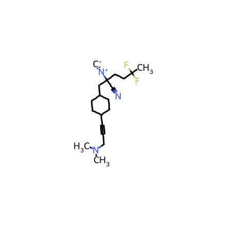 [C-]#[N+]C(C#N)(CCC(C)(F)F)CC1CCC(C#CCN(C)C)CC1